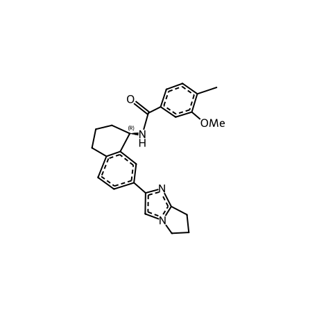 COc1cc(C(=O)N[C@@H]2CCCc3ccc(-c4cn5c(n4)CCC5)cc32)ccc1C